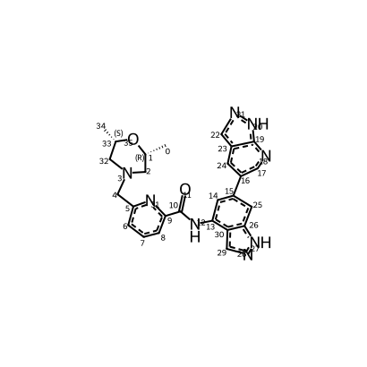 C[C@@H]1CN(Cc2cccc(C(=O)Nc3cc(-c4cnc5[nH]ncc5c4)cc4[nH]ncc34)n2)C[C@H](C)O1